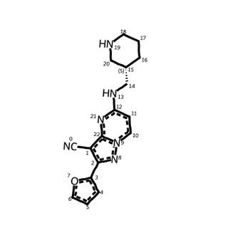 N#Cc1c(-c2ccco2)nn2ccc(NC[C@H]3CCCNC3)nc12